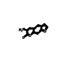 Nc1cc2cc3ccoc3cc2oc1=O